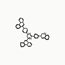 C1=CC2C=C(C3C=CC(C4CC(C5=Cc6ccccc6C6C=CC=CC56)=NC(c5ccc(C6C=c7ccccc7=NC6)cc5)=N4)=CC3)c3ccccc3C2C=C1